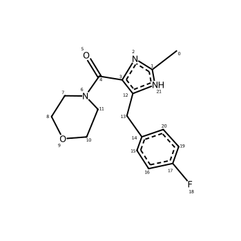 Cc1nc(C(=O)N2CCOCC2)c(Cc2ccc(F)cc2)[nH]1